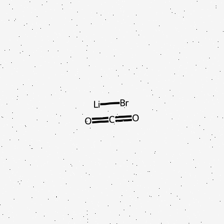 O=C=O.[Li][Br]